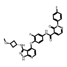 CO[C@H]1C[C@H](Nc2n[nH]c3nccc(Oc4ccc(NC(=O)c5ccnn(-c6ccc(F)cc6)c5=O)cc4F)c23)C1